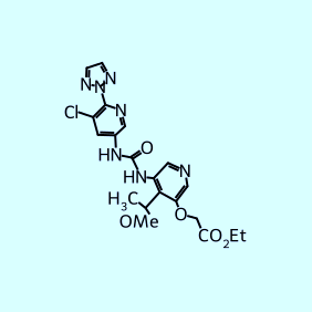 CCOC(=O)COc1cncc(NC(=O)Nc2cnc(-n3nccn3)c(Cl)c2)c1C(C)OC